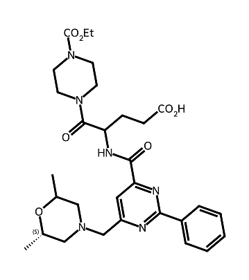 CCOC(=O)N1CCN(C(=O)C(CCC(=O)O)NC(=O)c2cc(CN3CC(C)O[C@@H](C)C3)nc(-c3ccccc3)n2)CC1